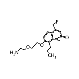 CCCc1c(OCCOCCN)ccc2c(CF)cc(=O)oc12